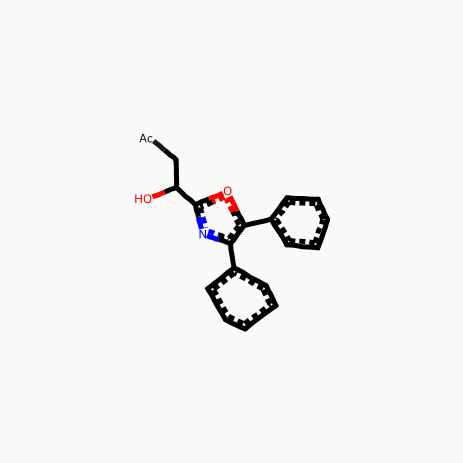 CC(=O)CC(O)c1nc(-c2ccccc2)c(-c2ccccc2)o1